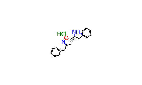 Cl.N[C@@H](Cc1ccccc1)[C@@H]1CC(Cc2ccccc2)=NO1